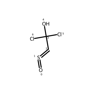 O=S=CC(O)(Cl)Cl